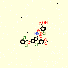 O=C(O)c1ccc(Cl)c(S(=O)(=O)NC(=O)C2Cc3cc(OCc4c(Cl)cccc4Cl)ccc3C2c2cc3c(cc2Cl)OCO3)c1